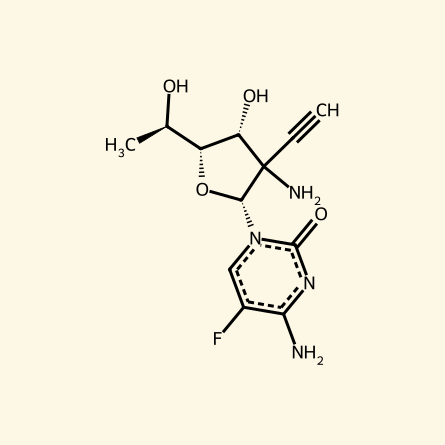 C#CC1(N)[C@@H](O)[C@@H]([C@@H](C)O)O[C@H]1n1cc(F)c(N)nc1=O